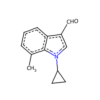 Cc1cccc2c(C=O)cn(C3CC3)c12